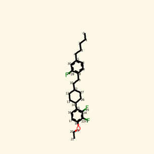 CCCCCc1ccc(CCC2CCC(c3ccc(OCC)c(F)c3F)CC2)c(F)c1